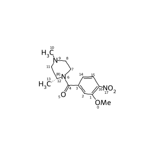 COc1cc(C(=O)N2CCN(C)C[C@H]2C)ccc1[N+](=O)[O-]